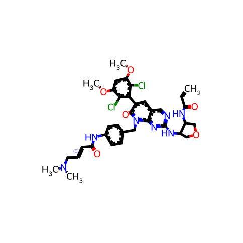 C=CC(=O)NC1COCC1Nc1ncc2cc(-c3c(Cl)c(OC)cc(OC)c3Cl)c(=O)n(Cc3ccc(NC(=O)/C=C/CN(C)C)cc3)c2n1